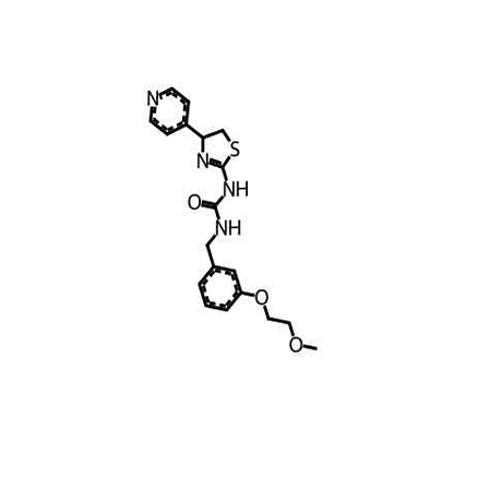 COCCOc1cccc(CNC(=O)NC2=NC(c3ccncc3)CS2)c1